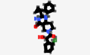 O=C([C@@H](O)c1ccccc1Cl)N1CCc2nc(C3(c4ccccc4)CC3)[nH]c(=O)c2C1